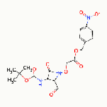 CC(C)(C)OC(=O)NC1C(=O)N(OCC(=O)OCc2ccc([N+](=O)[O-])cc2)C1C=O